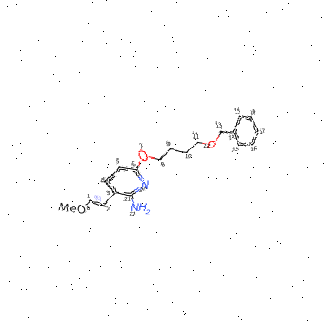 CO/C=C/c1ccc(OCCCCOCc2ccccc2)nc1N